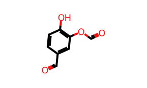 O=COc1cc(C=O)ccc1O